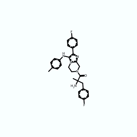 Cc1ccc(Nc2c(-c3ccc(F)cc3)nc3n2CCN(C(=O)C(C)(N)Cc2ccc(F)cc2)C3)cc1